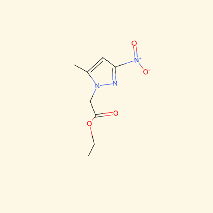 CCOC(=O)Cn1nc([N+](=O)[O-])cc1C